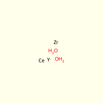 O.O.[Ce].[Y].[Zr]